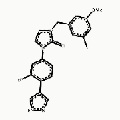 CCc1cc(-n2ccn(Cc3cc(F)cc(OC)c3)c2=O)ccc1-c1cn[nH]c1